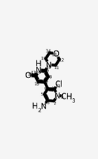 CN1CC(N)=CC(c2cc(N3CCOCC3)[nH]c(=O)c2)=C1Cl